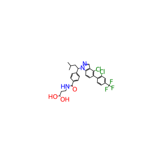 CC(C)CC(c1ccc(C(=O)NCCC(O)O)cc1)n1ncc2c(Cl)c(-c3ccc(C(F)(F)F)cc3Cl)ccc21